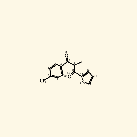 CC(C(=O)c1ccc(Cl)cc1)C(=O)c1cccs1